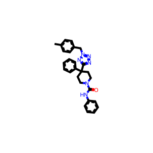 Cc1ccc(Cn2nnc(C3(c4ccccc4)CCN(C(=O)Nc4ccccc4)CC3)n2)cc1